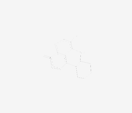 O=c1[nH]nc2c3c(c(Br)ccc13)NC1=C2CCCC1